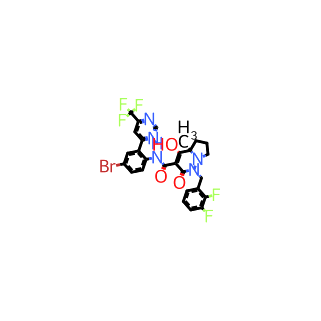 CC12CCCN1N(Cc1cccc(F)c1F)C(=O)C(C(=O)Nc1ccc(Br)cc1-c1cc(C(F)(F)F)ncn1)=C2O